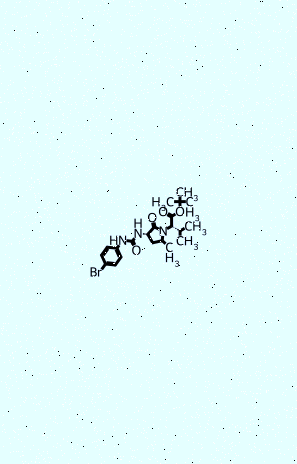 CC(C)[C@@H](C(=O)OC(C)(C)C)N1C(=O)[C@@H](NC(=O)Nc2ccc(Br)cc2)CC1C